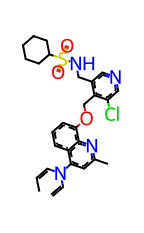 C=CN(/C=C\C)c1cc(C)nc2c(OCc3c(Cl)cncc3CNS(=O)(=O)C3CCCCC3)cccc12